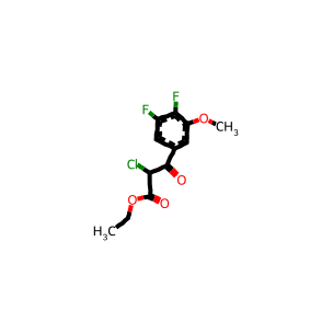 CCOC(=O)C(Cl)C(=O)c1cc(F)c(F)c(OC)c1